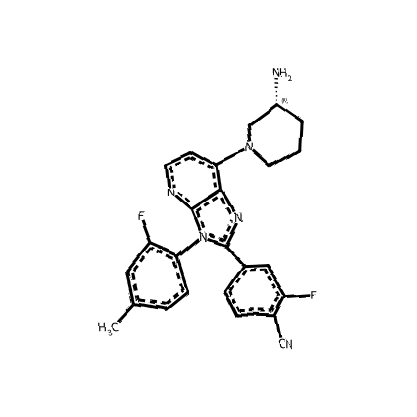 Cc1ccc(-n2c(-c3ccc(C#N)c(F)c3)nc3c(N4CCC[C@@H](N)C4)ccnc32)c(F)c1